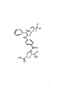 O=C(O)C1CC(C(=O)O)N(C(=O)c2ccc(Nc3nc4cc(C(F)(F)F)ccc4nc3-c3ccccc3)cc2)C1